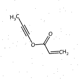 C=CC(=O)OC#CC